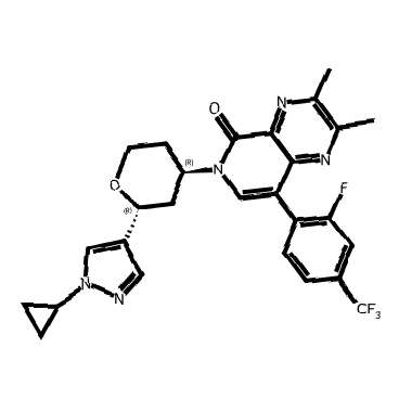 Cc1nc2c(-c3ccc(C(F)(F)F)cc3F)cn([C@@H]3CCO[C@@H](c4cnn(C5CC5)c4)C3)c(=O)c2nc1C